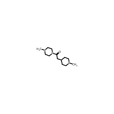 CN1CCC(CC(=O)N2CCN(C)CC2)CC1